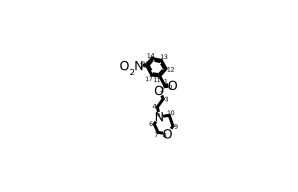 O=C(OCCN1CCOCC1)c1cccc([N+](=O)[O-])c1